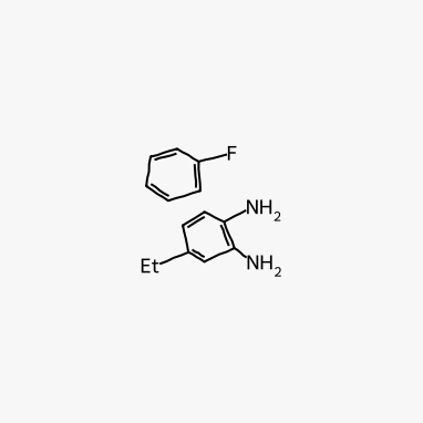 CCc1ccc(N)c(N)c1.Fc1ccccc1